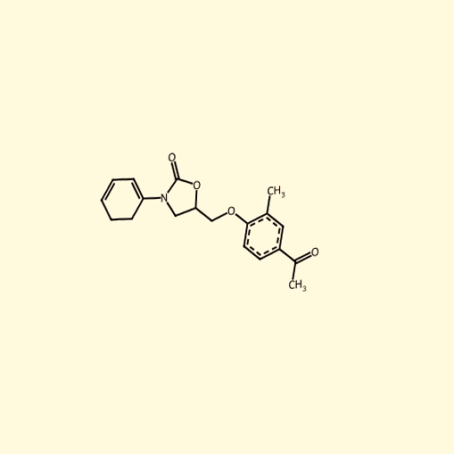 CC(=O)c1ccc(OCC2CN(C3=CC=CCC3)C(=O)O2)c(C)c1